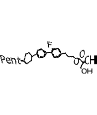 C=C(CO)C(=O)OCCCc1ccc(-c2ccc(C3CCC(CCCCC)CC3)cc2)c(F)c1